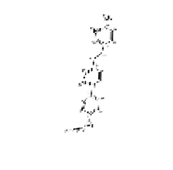 CCCCCCCOc1ccc(-c2ccc(CCc3ccc(CCCC)nc3)cc2)cc1